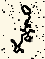 O=C(NC(CCN1C(=O)CCC1=O)C(=O)O)OCc1ccccc1